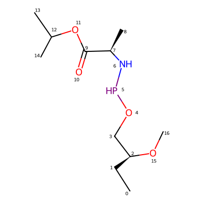 CC[C@@H](COPN[C@H](C)C(=O)OC(C)C)OC